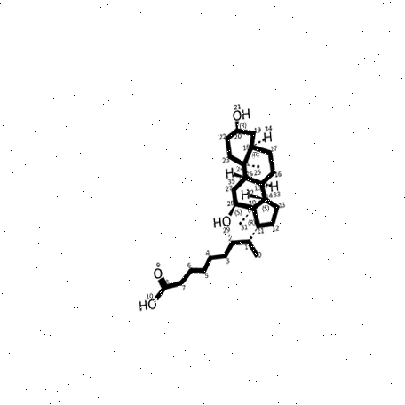 CC(CCCCCCC(=O)O)[C@H]1CC[C@H]2[C@@H]3CC[C@@H]4C[C@H](O)CC[C@]4(C)[C@H]3C[C@H](O)[C@]12C